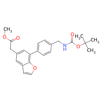 COC(=O)Cc1cc(-c2ccc(CNC(=O)OC(C)(C)C)cc2)c2occc2c1